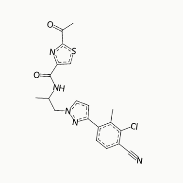 CC(=O)c1nc(C(=O)NC(C)Cn2ccc(-c3ccc(C#N)c(Cl)c3C)n2)cs1